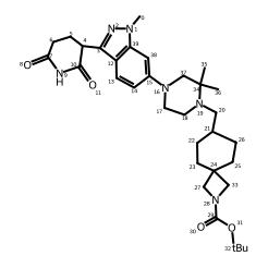 Cn1nc(C2CCC(=O)NC2=O)c2ccc(N3CCN(CC4CCC5(CC4)CN(C(=O)OC(C)(C)C)C5)C(C)(C)C3)cc21